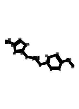 COc1ccc(CNCc2cc(Br)cs2)cc1